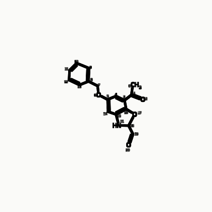 CC(=O)c1cc(OCc2ccccc2)cc2c1OC(C=O)N2